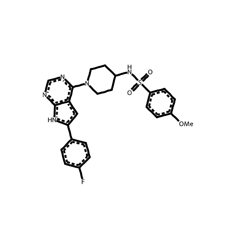 COc1ccc(S(=O)(=O)NC2CCN(c3ncnc4[nH]c(-c5ccc(F)cc5)cc34)CC2)cc1